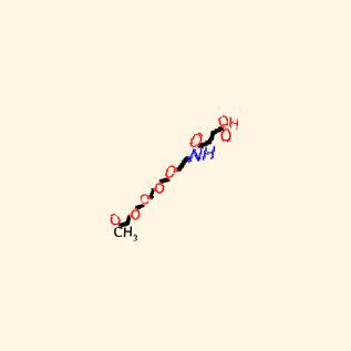 CC(=O)CCOCCOCCOCCOCCNC(=O)CCC(=O)O